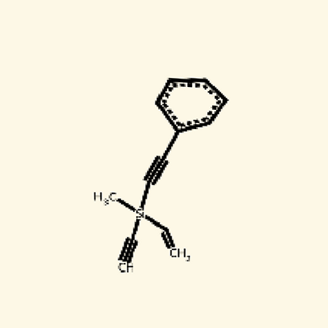 C#C[Si](C)(C#Cc1ccccc1)C=C